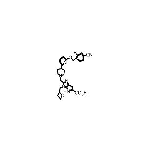 N#Cc1ccc(COc2cccc(C3CCN(Cc4nc5cc(C(=O)O)[nH]c5n4CC4CCO4)CC3)n2)c(F)c1